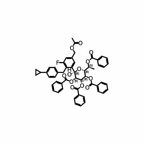 CC(=O)OCc1cc(F)c(Cc2ccc(C3CC3)cc2)c([C@@]2(O)O[C@H]([C@H](C)OC(=O)c3ccccc3)[C@@H](OC(=O)c3ccccc3)[C@H](OC(=O)c3ccccc3)[C@H]2OC(=O)c2ccccc2)c1